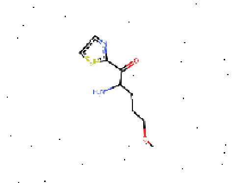 COCCCC(N)C(=O)c1nccs1